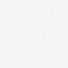 CC(C)(C)c1ccc(N2B3c4cc5occ(-c6ccccc6)c5cc4-n4c5cc6c(cc5c5c7c(c(c3c54)-c3cc(C(C)(C)C)ccc32)-c2ccccc2C7(C)C)C(C)(C)CCC6(C)C)cc1